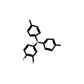 Cc1ccc(N(c2ccc(C)cc2)c2ccc(F)c(F)c2)cc1